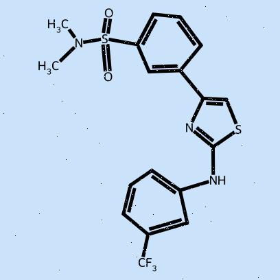 CN(C)S(=O)(=O)c1cccc(-c2csc(Nc3cccc(C(F)(F)F)c3)n2)c1